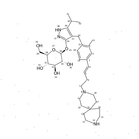 Cc1cc(/C=C/CCN2CCC3(CCNCC3)CC2)ccc1Cc1c(O[C@@H]2O[C@H](CO)[C@@H](O)[C@H](O)[C@H]2O)n[nH]c1C(C)C